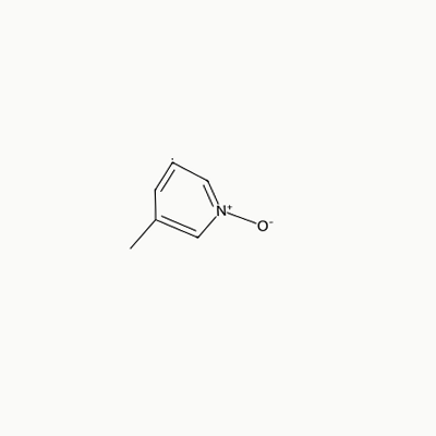 Cc1c[c]c[n+]([O-])c1